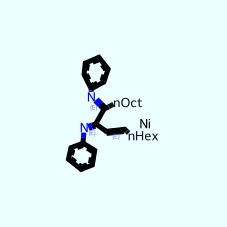 CCCCCC/C=C/C(=N\c1ccccc1)C(/CCCCCCCC)=N/c1ccccc1.[Ni]